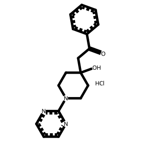 Cl.O=C(CC1(O)CCN(c2ncccn2)CC1)c1ccccc1